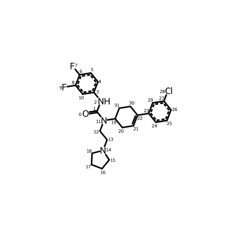 O=C(Nc1ccc(F)c(F)c1)N(CCN1CCCC1)C1CC=C(c2cccc(Cl)c2)CC1